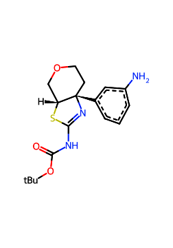 CC(C)(C)OC(=O)NC1=N[C@@]2(c3cccc(N)c3)CCOC[C@H]2S1